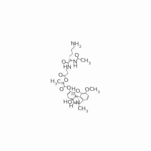 COc1ccc2c3c1O[C@@H]1C(OC(=O)[C@H](C)OC(=O)CCNC(=O)[C@H](CCCCN)NC(C)=O)=CC[C@]4(O)[C@H](C2)N(C)CC[C@@]314